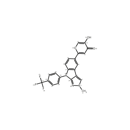 Cn1cc2c3cc(-c4cc(=O)c(O)co4)ccc3n(-c3ccc(C(F)(F)F)cc3)c2n1